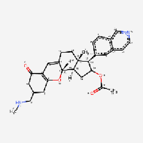 CNCC1CC(=O)C2=C(C1)O[C@@H]1C(=C2)CC[C@]2(C)[C@@H](c3ccc4cnccc4c3)C(OC(C)=O)C[C@@H]12